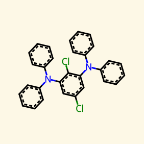 Clc1cc(N(c2ccccc2)c2ccccc2)c(Cl)c(N(c2ccccc2)c2ccccc2)c1